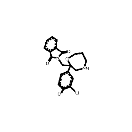 O=C1c2ccccc2C(=O)N1CC1(c2ccc(Cl)c(Cl)c2)CNCCCO1